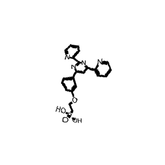 O=P(O)(O)CCOc1cccc(-c2cc(-c3ccccn3)nc(-c3ccccn3)n2)c1